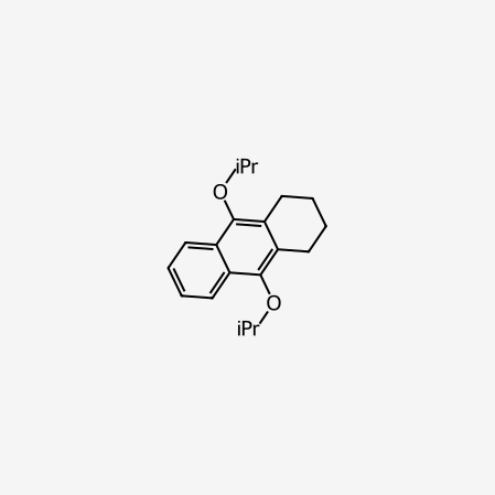 CC(C)Oc1c2c(c(OC(C)C)c3ccccc13)CCCC2